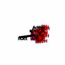 CCCCCCCC/C=C\CCCCCCCCCCCCCCCC(=O)N[C@@H](CO[C@@H]1OC(CO)[C@@H](O[C@@H]2OC(CO)[C@H](O)[C@H](O[C@@H]3OC(CO)[C@@H](O[C@@H]4OC(CO)[C@H](O)[C@H](O[C@@H]5OC(CO)[C@@H](O[C@@H]6OC(CO)[C@H](O)[C@H](O[C@@H]7OC(CO)[C@@H](O)[C@H](O)C7NC(C)=O)C6O)[C@H](O[C@H]6OC(C)[C@@H](O)C(O)[C@@H]6O)C5NC(C)=O)C4O)[C@H](O)C3NC(C)=O)C2O)[C@H](O)C1O)[C@H](O)/C=C/CCCCCCCCCCCCC